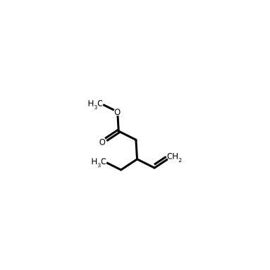 C=CC(CC)CC(=O)OC